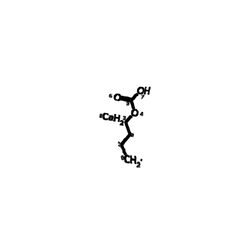 [CH2]CCCOC(=O)O.[CaH2]